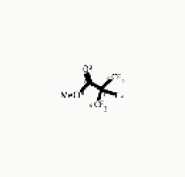 COC(=O)C(F)(C(F)(F)F)C(F)(F)F